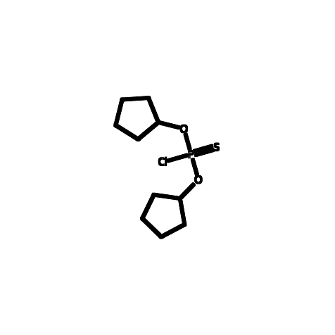 S=P(Cl)(OC1CCCC1)OC1CCCC1